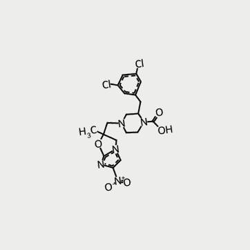 CC1(CN2CCN(C(=O)O)C(Cc3cc(Cl)cc(Cl)c3)C2)Cn2cc([N+](=O)[O-])nc2O1